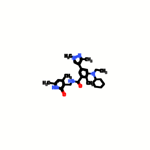 CCN(c1cc(-c2cn(C)nc2C)cc(C(=O)NCc2c(C)cc(C)[nH]c2=O)c1C)C1CCCCC1